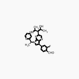 CC(=N)/C(=C(/C)O)c1cnc2c(-c3ccc(C=O)c(F)c3)cn([C@@H](C)c3ccccn3)c2n1